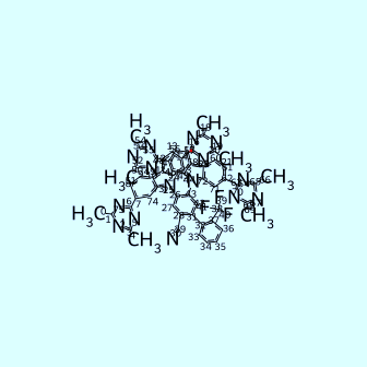 Cc1nc(C)nc(-c2ccc3c4ccc(-c5nc(C)nc(C)n5)cc4n(-c4cc(C#N)c(-c5ccccc5C(F)(F)F)cc4-n4c5cc(-c6nc(C)nc(C)n6)ccc5c5ccc(-c6nc(C)nc(C)n6)cc54)c3c2)n1